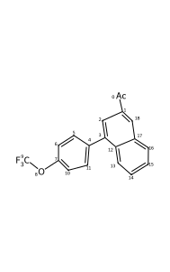 CC(=O)c1cc(-c2ccc(OC(F)(F)F)cc2)c2ccccc2c1